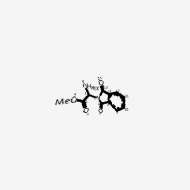 CCCCCCC(C(=O)OC)N1C(=O)c2ccccc2C1=O